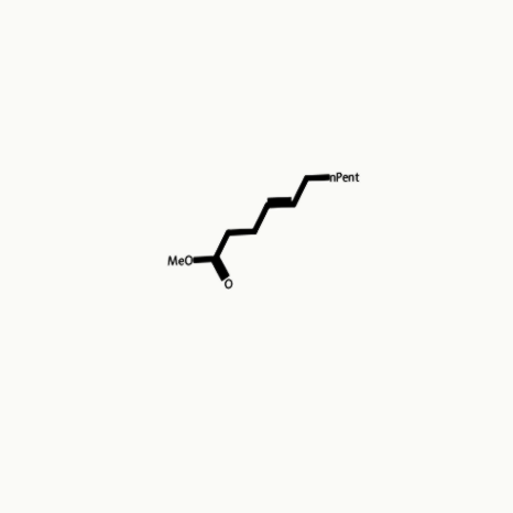 CCCCCC/C=C/CCC(=O)OC